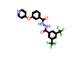 O=C(NNC(=O)c1cc(C(F)(F)F)cc(C(F)(F)F)c1)c1cccc(Oc2ccncc2)c1